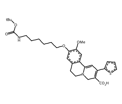 COc1cc2c(cc1OCCCCCCNC(=O)OC(C)(C)C)CCN1CC(C(=O)O)=C(c3cccs3)C=C21